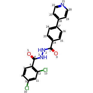 O=C(NNC(=O)c1ccc(Cl)cc1Cl)c1ccc(-c2ccncc2)cc1